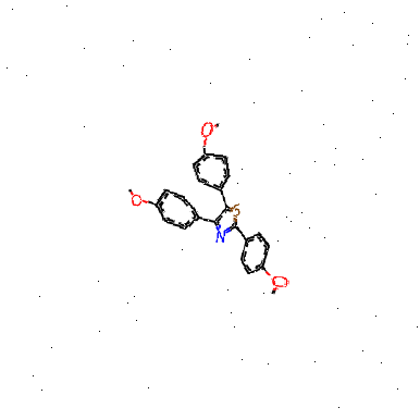 COc1ccc(-c2nc(-c3ccc(OC)cc3)c(-c3ccc(OC)cc3)s2)cc1